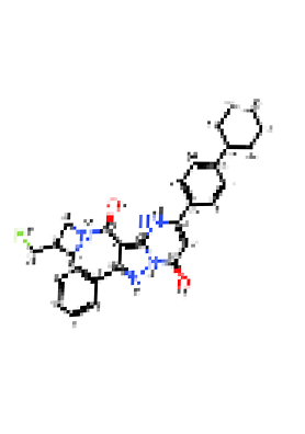 O=C(c1c(-c2ccccc2)nn2c(=O)cc(-c3ccc(C4CCCCC4)cc3)[nH]c12)N1CC(CF)C1